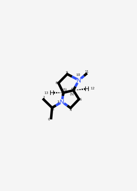 CC(C)N1CC[C@H]2[C@@H]1CCN2C